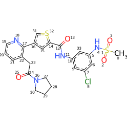 CS(=O)(=O)Nc1cc(Cl)cc(NC(=O)c2cc(-c3ncccc3CC(=O)N3CCCC3)cs2)c1